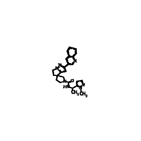 CC(NC(=O)N1CCC2(CCn3nc(-c4cnc5ccccc5c4)cc32)C1)c1ccnn1C